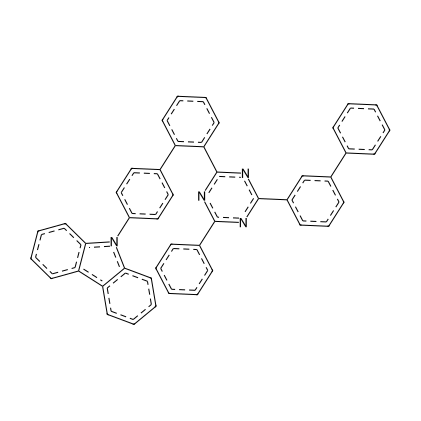 c1ccc(-c2cccc(-c3nc(-c4ccccc4)nc(-c4ccccc4-c4ccc(-n5c6ccccc6c6ccccc65)cc4)n3)c2)cc1